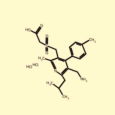 Cc1ccc(-c2c(CS(=O)(=O)CC(=O)O)c(C)nc(CC(C)C)c2CN)cc1.Cl.Cl